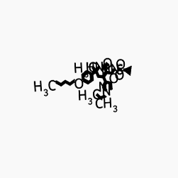 CCCCCCOc1ccc(C2(C)CC(c3ccn(CC(C)C)n3)=C(C(=O)NS(=O)(=O)C3CC3)C(=O)N2)cc1